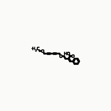 [CH2]COCC#CC#CCOCCC(=Cc1ccccc1)C(=O)O